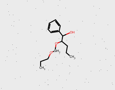 CCCO[SiH2]OC(CCC)C(O)c1ccccc1